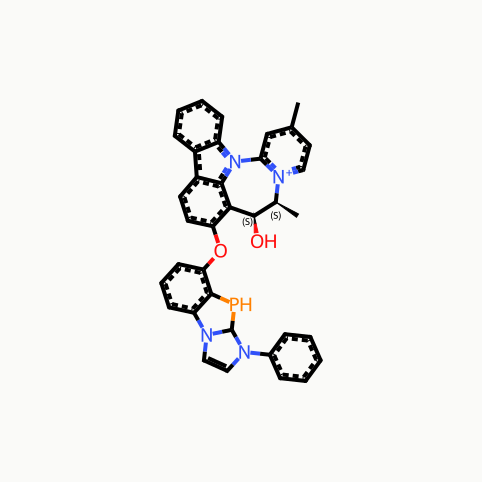 Cc1cc[n+]2c(c1)-n1c3ccccc3c3ccc(Oc4cccc5c4PC4N(c6ccccc6)C=CN54)c(c31)[C@H](O)[C@@H]2C